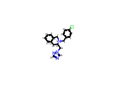 Clc1ccc(CN2Cc3ccccc3CC2Cn2cncn2)cc1